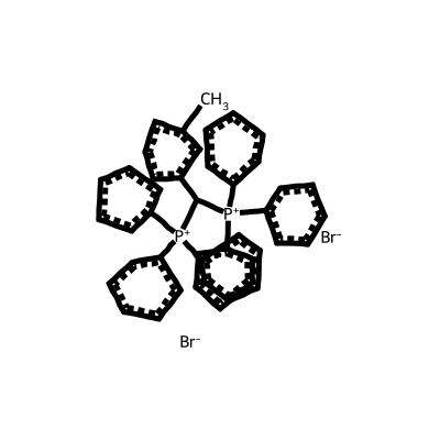 Cc1cccc(C([P+](c2ccccc2)(c2ccccc2)c2ccccc2)[P+](c2ccccc2)(c2ccccc2)c2ccccc2)c1.[Br-].[Br-]